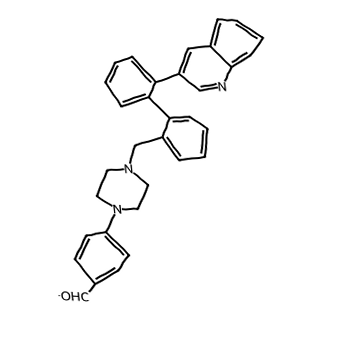 O=[C]c1ccc(N2CCN(Cc3ccccc3-c3ccccc3-c3cnc4ccccc4c3)CC2)cc1